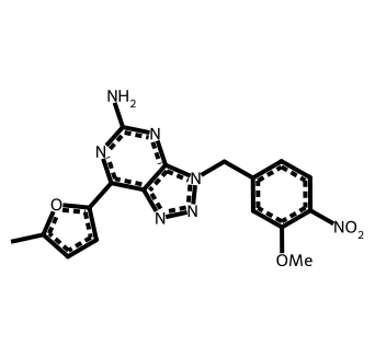 COc1cc(Cn2nnc3c(-c4ccc(C)o4)nc(N)nc32)ccc1[N+](=O)[O-]